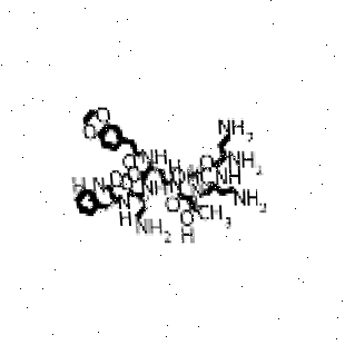 C[C@@H](O)[C@H](NC[C@](C=O)(CCN)NC(=O)[C@@H](N)CCN)C(=O)NCC[C@H](NC(=O)Cc1ccc2c(c1)OCCO2)C(=O)N[C@@H](CCN)C(=O)N[C@H](Cc1ccccc1)C(N)=O